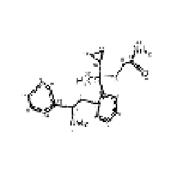 COC(Cc1ccccc1C(C)(CCC(N)=O)C1CC1)c1ccccc1